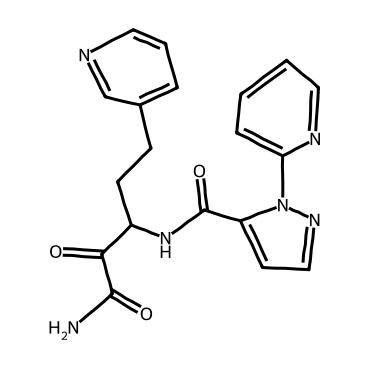 NC(=O)C(=O)C(CCc1cccnc1)NC(=O)c1ccnn1-c1ccccn1